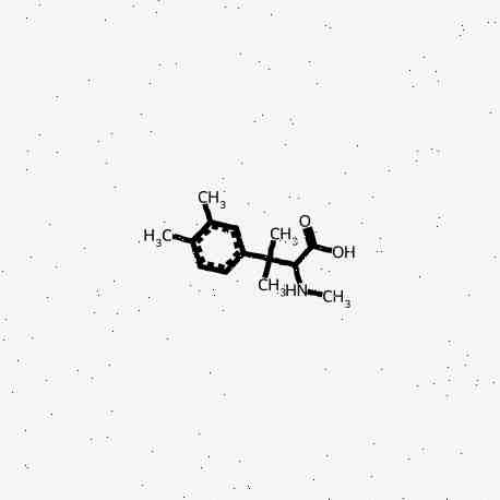 CNC(C(=O)O)C(C)(C)c1ccc(C)c(C)c1